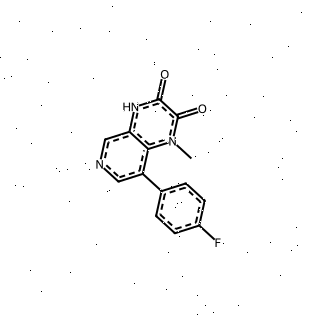 Cn1c(=O)c(=O)[nH]c2cncc(-c3ccc(F)cc3)c21